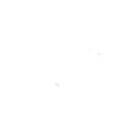 CCOc1ccc(C2[CH]SCCN2)cc1